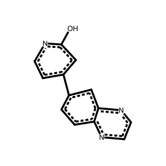 Oc1cc(-c2ccc3nccnc3c2)ccn1